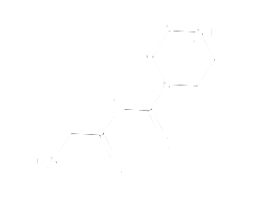 NCC(=O)OC(=O)N1CCNCC1